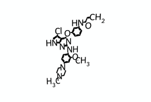 C=CC(=O)Nc1cccc(Oc2nc(Nc3ccc(N4CCN(C)CC4)cc3OC)nc3[nH]cc(Cl)c23)c1